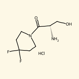 Cl.N[C@@H](CO)C(=O)N1CCC(F)(F)CC1